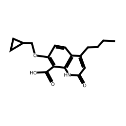 CCCCc1cc(=O)[nH]c2c(C(=O)O)c(OCC3CC3)ccc12